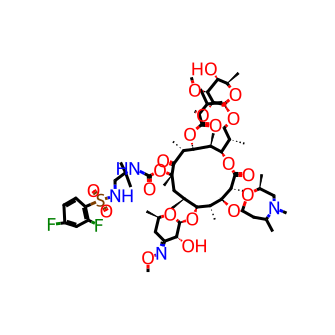 CO/N=C1\C[C@@H](C)O[C@@H](O[C@@H]2[C@@H](C)[C@H](O[C@H]3CC(C)N(C)C[C@H](C)O3)[C@@H](C)C(=O)O[C@H]([C@@H](C)CO[C@@H]3O[C@H](C)[C@@H](O)[C@@H](OC)[C@H]3OC)[C@H](C)[C@@H](OC(=O)CC(C)C)[C@@H](C)C(=O)[C@@](C)(OC(=O)NC(C)(C)CNS(=O)(=O)c3ccc(F)cc3F)C[C@@H]2C)[C@@H]1O